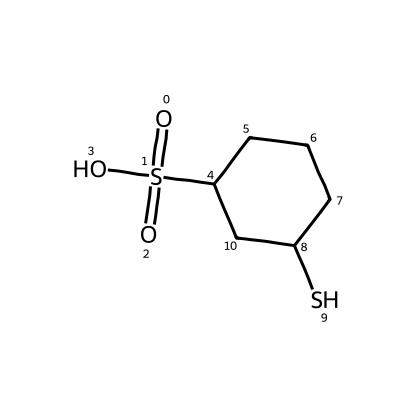 O=S(=O)(O)C1CCCC(S)C1